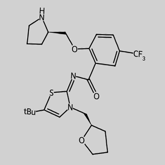 CC(C)(C)c1cn(C[C@H]2CCCO2)c(=NC(=O)c2cc(C(F)(F)F)ccc2OC[C@H]2CCCN2)s1